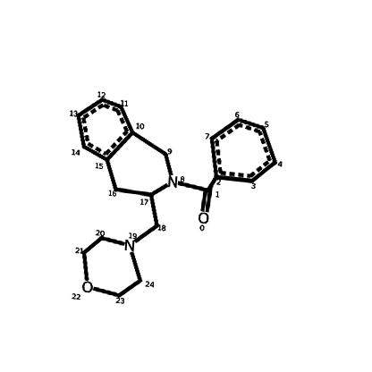 O=C(c1ccccc1)N1Cc2ccccc2CC1CN1CCOCC1